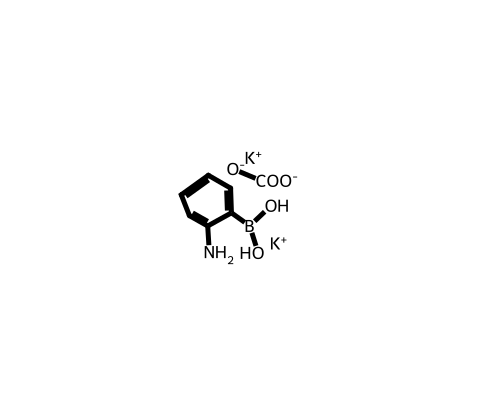 Nc1ccccc1B(O)O.O=C([O-])[O-].[K+].[K+]